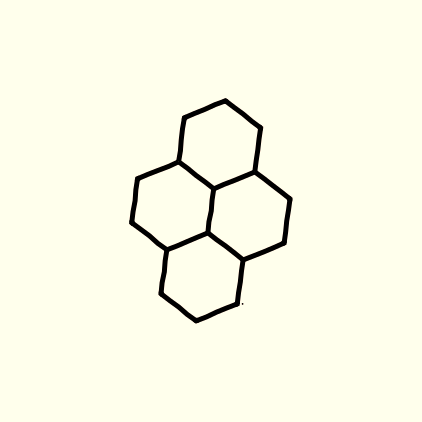 [CH]1CCC2CCC3CCCC4CCC1C2C43